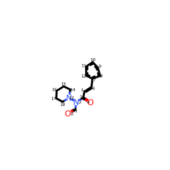 O=CN(C(=O)/C=C/c1ccccc1)N1CCCCC1